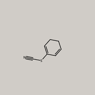 N#CSC1=CCCC=C1